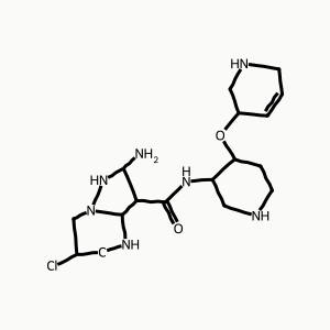 NC1NN2CC(Cl)CNC2C1C(=O)NC1CNCCC1OC1C=CCNC1